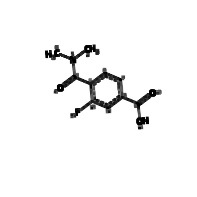 CN(C)C(=O)c1ccc(C(=O)O)cc1F